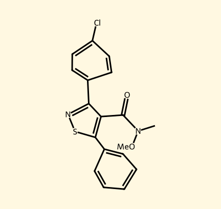 CON(C)C(=O)c1c(-c2ccc(Cl)cc2)nsc1-c1ccccc1